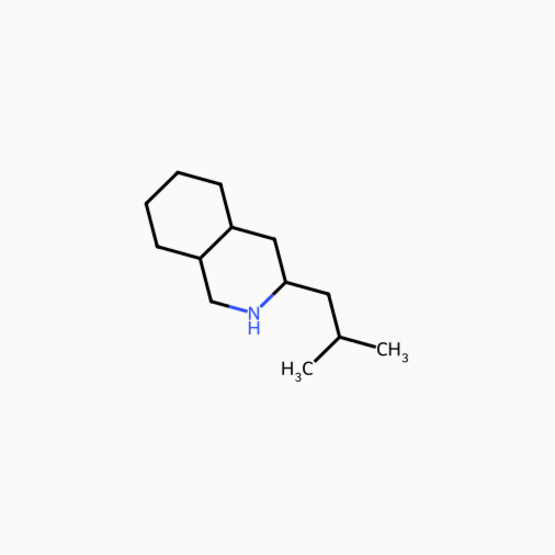 CC(C)CC1CC2CCCCC2CN1